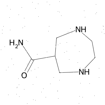 NC(=O)C1CNCCNC1